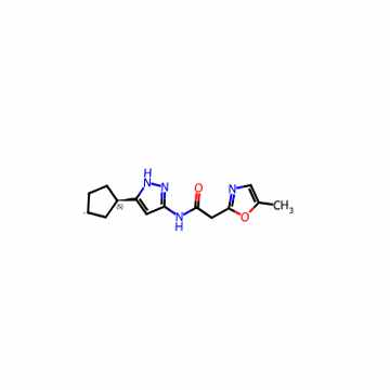 Cc1cnc(CC(=O)Nc2cc([C@H]3C[CH]CC3)[nH]n2)o1